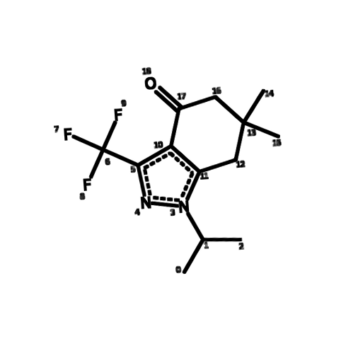 CC(C)n1nc(C(F)(F)F)c2c1CC(C)(C)CC2=O